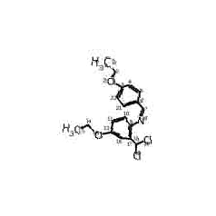 CCOc1ccc(/C=N\c2ccc(OCC)cc2C(Cl)Cl)cc1